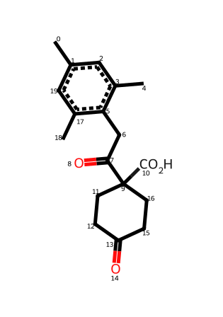 Cc1cc(C)c(CC(=O)C2(C(=O)O)CCC(=O)CC2)c(C)c1